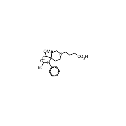 CCC(=O)N(c1ccccc1)C1(C(=O)OC)CCN(CCCC(=O)O)CC1